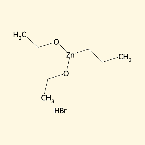 Br.CC[CH2][Zn]([O]CC)[O]CC